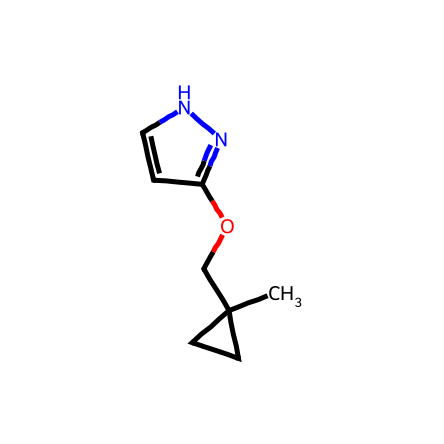 CC1(COc2cc[nH]n2)CC1